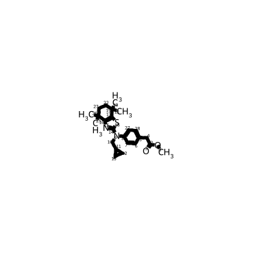 COC(=O)Cc1ccc(N(CC2CC2)c2nc3c(s2)C(C)(C)CCC3(C)C)cc1